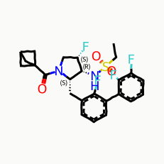 CCS(=O)(=O)N[C@H]1[C@@H](F)CN(C(=O)C23CC(C2)C3)[C@H]1Cc1cccc(-c2cccc(F)c2F)c1F